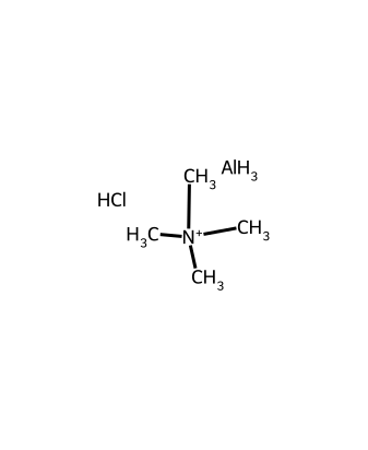 C[N+](C)(C)C.Cl.[AlH3]